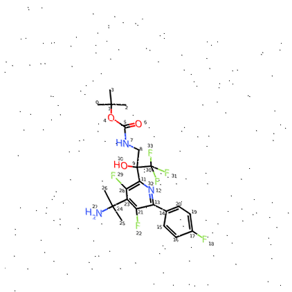 CC(C)(C)OC(=O)NCC(O)(c1nc(-c2ccc(F)cc2)c(F)c(C(C)(C)N)c1F)C(F)(F)F